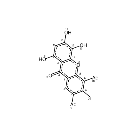 CC(=O)c1cc2c(=O)c3c(O)cc(O)c(O)c3oc2c(C(C)=O)c1C